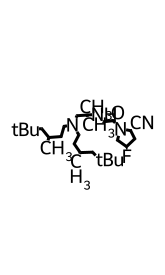 CC(CCN(CCC(C)CC(C)(C)C)CC(C)(C)NCC(=O)N1C[C@@H](F)C[C@H]1C#N)CC(C)(C)C